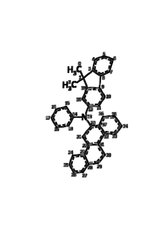 CC1(C)c2ccccc2-c2ccc(N(c3ccccc3)c3cc4c5ccccc5ccc4c4ccccc34)cc21